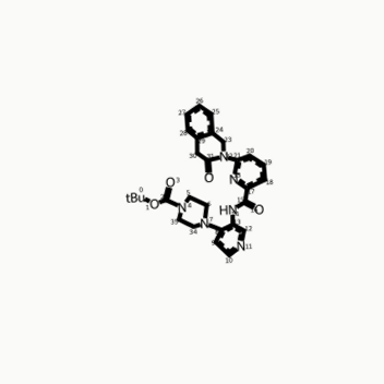 CC(C)(C)OC(=O)N1CCN(c2ccncc2NC(=O)c2cccc(N3Cc4ccccc4CC3=O)n2)CC1